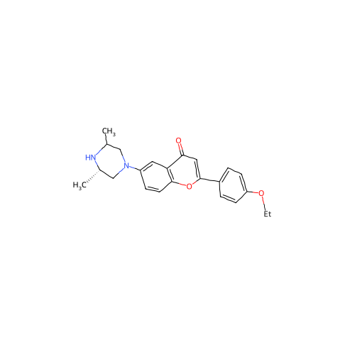 CCOc1ccc(-c2cc(=O)c3cc(N4CC(C)N[C@@H](C)C4)ccc3o2)cc1